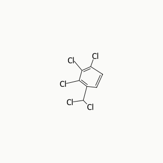 Clc1ccc(C(Cl)Cl)c(Cl)c1Cl